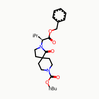 CCCCOC(=O)N1CCC2(CC1)CCN([C@H](C(=O)OCc1ccccc1)C(C)C)C2=O